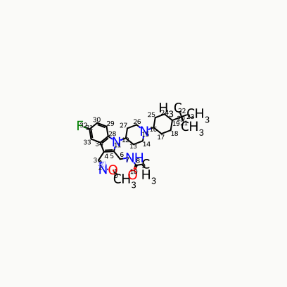 CO/N=C\c1c(CNC(C)=O)n(C2CCN(C3CCC(C(C)(C)C)CC3)CC2)c2ccc(F)cc12